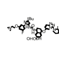 C[C@H]1CCCCN1c1nnc2ccc(O[C@@H]3CC[C@H](NC(=O)Nc4cc(C(C)(C)C)nn4-c4cc(F)cc(OCCN(C)C)c4)c4ccccc43)cn12.O=CO